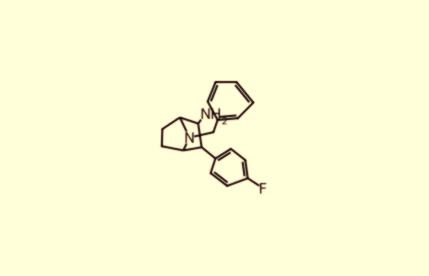 NC1C(c2ccc(F)cc2)C2CCC1N2Cc1ccccc1